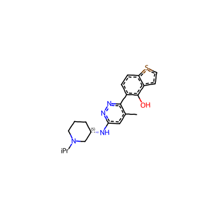 Cc1cc(N[C@H]2CCCN(C(C)C)C2)nnc1-c1ccc2sccc2c1O